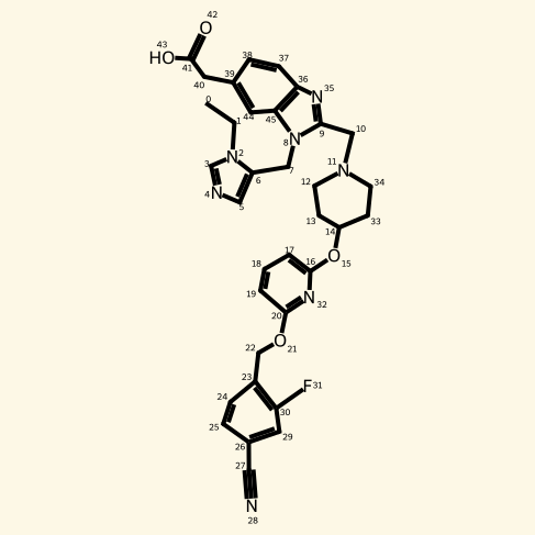 CCn1cncc1Cn1c(CN2CCC(Oc3cccc(OCc4ccc(C#N)cc4F)n3)CC2)nc2ccc(CC(=O)O)cc21